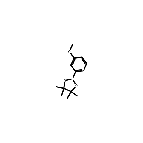 COc1ccnc(B2OC(C)(C)C(C)(C)O2)c1